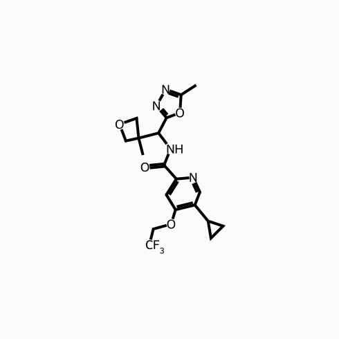 Cc1nnc(C(NC(=O)c2cc(OCC(F)(F)F)c(C3CC3)cn2)C2(C)COC2)o1